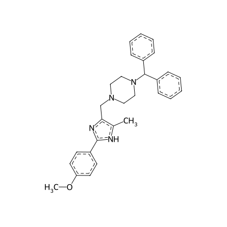 COc1ccc(-c2nc(CN3CCN(C(c4ccccc4)c4ccccc4)CC3)c(C)[nH]2)cc1